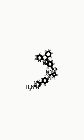 Nc1ncc(-c2ccc(NC(=O)C3(NC(=O)c4ccc5c(C6CCCCC6)n(-c6ccccn6)nc5c4)CCC3)cc2)cn1